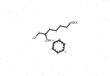 CCCCCCCCCCCCC(O)C[O].c1ccccc1